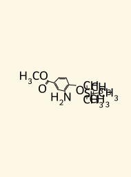 COC(=O)c1ccc(CO[Si](C)(C)C(C)(C)C)c(N)c1